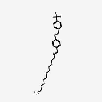 CCCCCCCCCCCCN=Cc1ccc(OCc2ccc(C(F)(F)F)cc2)cc1